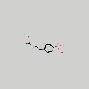 CCOP(=O)(OCC)c1ccc(CCNC(=O)OC(C)(C)C)cc1